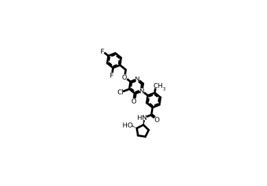 Cc1ccc(C(=O)N[C@H]2CCC[C@@H]2O)cc1-n1cnc(OCc2ccc(F)cc2F)c(Cl)c1=O